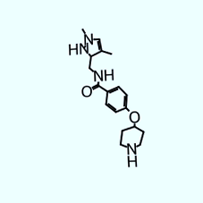 CC1=CN(C)NC1CNC(=O)c1ccc(OC2CCNCC2)cc1